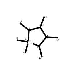 CC1C(C)C(C)[PH](C)(C)C1C